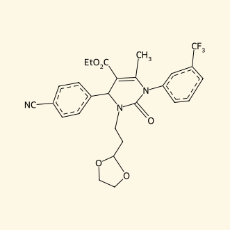 CCOC(=O)C1=C(C)N(c2cccc(C(F)(F)F)c2)C(=O)N(CCC2OCCO2)C1c1ccc(C#N)cc1